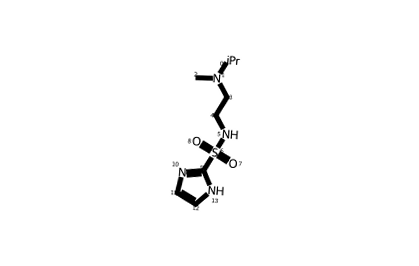 CC(C)N(C)CCNS(=O)(=O)c1ncc[nH]1